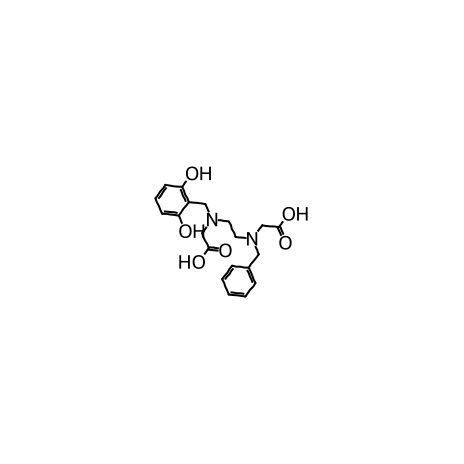 O=C(O)CN(CCN(CC(=O)O)Cc1c(O)cccc1O)Cc1ccccc1